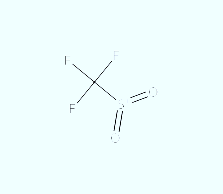 O=[S+](=O)C(F)(F)F